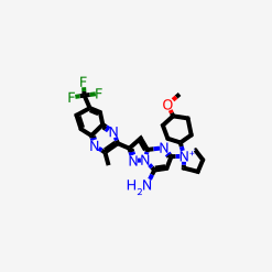 COC1CCC([N+]2(c3cc(N)n4nc(-c5nc6cc(C(F)(F)F)ccc6nc5C)cc4n3)CCCC2)CC1